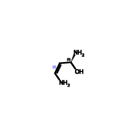 N/C=C\[C@H](N)O